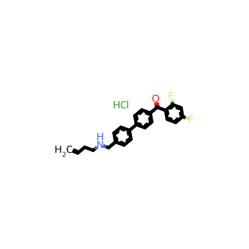 C=CCCNCc1ccc(-c2ccc(C(=O)c3ccc(F)cc3F)cc2)cc1.Cl